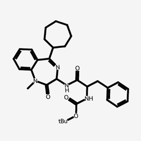 CN1C(=O)C(NC(=O)C(Cc2ccccc2)NC(=O)OC(C)(C)C)N=C(C2CCCCCC2)c2ccccc21